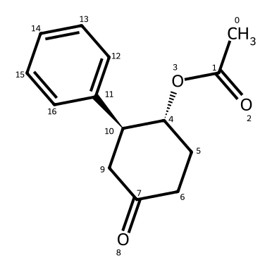 CC(=O)O[C@@H]1CCC(=O)C[C@H]1c1ccccc1